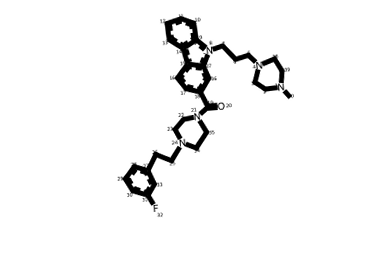 CN1CCN(CCCn2c3ccccc3c3ccc(C(=O)N4CCN(CCc5cccc(F)c5)CC4)cc32)CC1